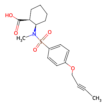 CC#CCOc1ccc(S(=O)(=O)N(C)[C@@H]2CCCC[C@@H]2C(=O)O)cc1